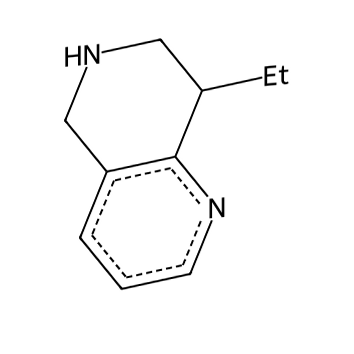 CCC1CNCc2cccnc21